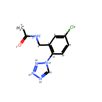 CC(=O)NCc1cc(Cl)ccc1-n1cnnn1